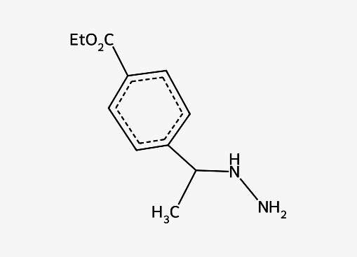 CCOC(=O)c1ccc(C(C)NN)cc1